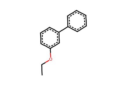 CCOc1cccc(-c2ccccc2)c1